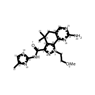 COCCn1nc(C(=O)Nc2nc(C)cs2)c2c1-c1nc(N)ncc1CC2(C)C